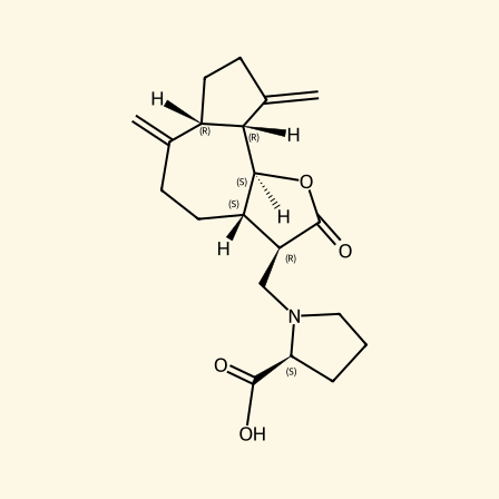 C=C1CC[C@H]2C(=C)CC[C@@H]3[C@H](OC(=O)[C@H]3CN3CCC[C@H]3C(=O)O)[C@@H]12